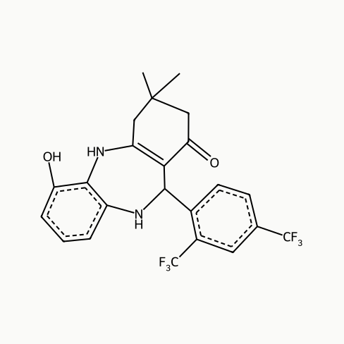 CC1(C)CC(=O)C2=C(C1)Nc1c(O)cccc1NC2c1ccc(C(F)(F)F)cc1C(F)(F)F